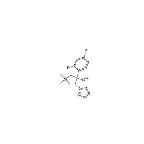 C[Si](C)(C)CC(O)(Cn1cncn1)c1ccc(F)cc1F